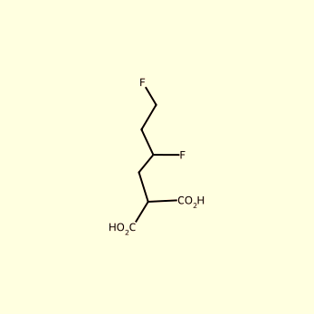 O=C(O)C(CC(F)CCF)C(=O)O